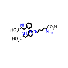 NCCCC[C@@H](N)C(=O)O.N[C@H](Cc1ccccc1)C(=O)O.N[C@H](Cc1ccccc1)C(=O)O